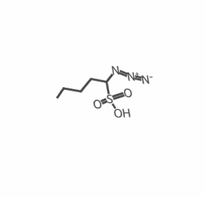 CCCCC(N=[N+]=[N-])S(=O)(=O)O